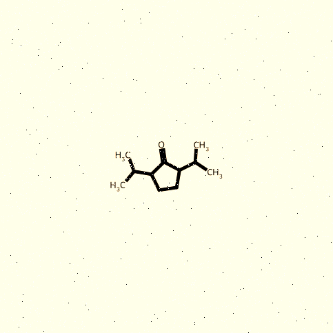 CC(C)C1CCC(C(C)C)C1=O